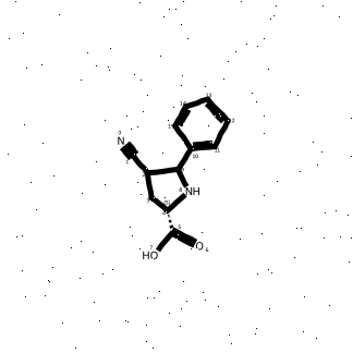 N#CC1C[C@@H](C(=O)O)NC1c1ccccc1